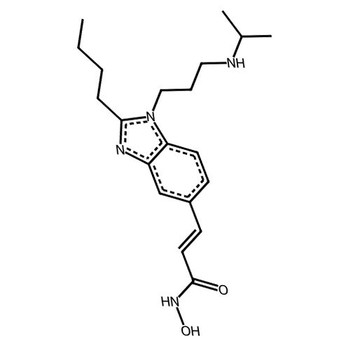 CCCCc1nc2cc(C=CC(=O)NO)ccc2n1CCCNC(C)C